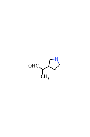 CC(C=O)C1CCNC1